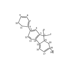 CC1(C)c2cc(C3=CC=CCC3)ccc2C2=CC=C(I)CC21